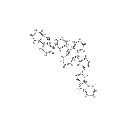 c1cc(-c2ccc3sc4ccccc4c3c2)cc(-c2c3ccccc3c(-c3cccc(-c4cccc5c4oc4ccccc45)c3)c3ccccc23)c1